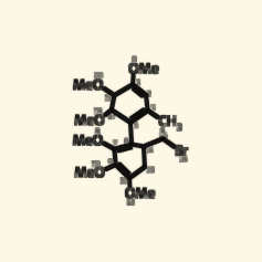 COC1=CC(C)=C(C2=C(OC)C(OC)=C(OC)CC2CBr)C(OC)C1OC